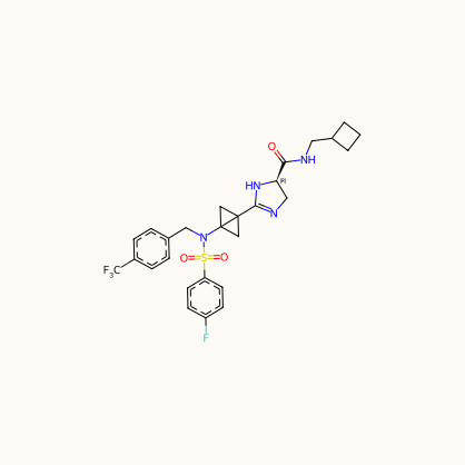 O=C(NCC1CCC1)[C@H]1CN=C(C23CC2(N(Cc2ccc(C(F)(F)F)cc2)S(=O)(=O)c2ccc(F)cc2)C3)N1